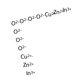 [Cu+2].[Cu+2].[In+3].[In+3].[O-2].[O-2].[O-2].[O-2].[O-2].[O-2].[O-2].[Zn+2].[Zn+2]